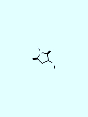 CCN1C(=O)CC(OC(C)C)C1=O